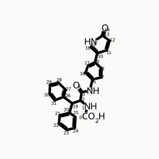 O=C(O)NC(C(=O)Nc1ccc(-c2ccc(=O)[nH]c2)cc1)C(c1ccccc1)c1ccccc1